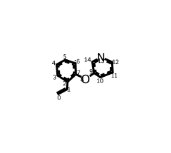 C=Cc1ccc[c]c1Oc1cccnc1